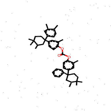 Cc1ccc(C2(c3ccc(OC(=O)Oc4ccc(C5(c6ccccc6)CCC(C)(C)C(C)C5)cc4C)c(C)c3)CCC(C)(C)C(C)C2)cc1C